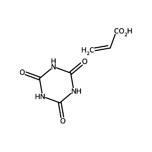 C=CC(=O)O.O=c1[nH]c(=O)[nH]c(=O)[nH]1